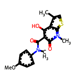 COc1ccc(N(C)C(=O)c2c(O)c3c(C)csc3n(C)c2=O)cc1